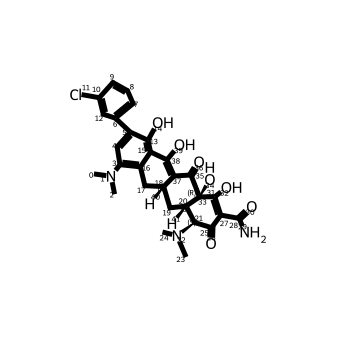 CN(C)c1cc(-c2cccc(Cl)c2)c(O)c2c1C[C@H]1C[C@H]3[C@H](N(C)C)C(=O)C(C(N)=O)=C(O)[C@@]3(O)C(=O)C1=C2O